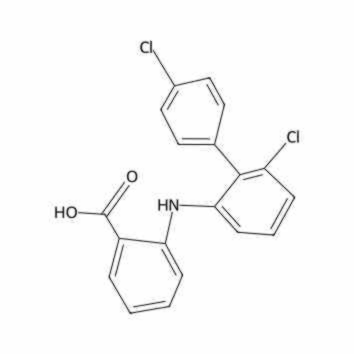 O=C(O)c1ccccc1Nc1cccc(Cl)c1-c1ccc(Cl)cc1